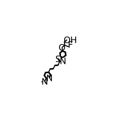 CN(C)c1ccc(C=CC=Cc2nc3ccc(OC(CO)CF)cc3s2)cn1